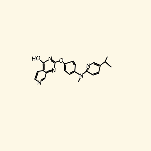 CC(C)c1ccc(N(C)c2ccc(Oc3nc(O)c4ccncc4n3)cc2)nc1